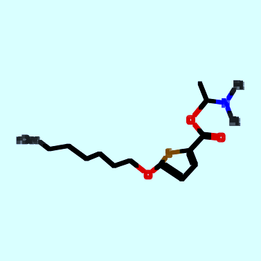 CCCCCCCCCCCCCCCCOc1ccc(C(=O)OC(C)N(CC)CC)s1